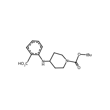 CC(C)(C)OC(=O)N1CCC(Nc2ccccc2C(=O)O)CC1